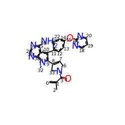 C=C(C)C(=O)N1CC=C(c2c(-c3ccc(Oc4ncccn4)cc3)c3c(N)ncnc3n2C)C1